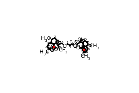 C[C@@H]1CC[C@H]2C(COCCCO[C@@]3(C(F)(F)F)O[C@@H]4O[C@]5(C)CCC6[C@H](C)CC[C@@H]([C@H]3C)[C@]64OO5)=C(C(F)(F)F)O[C@@H]3O[C@]4(C)CCC1[C@]32OO4